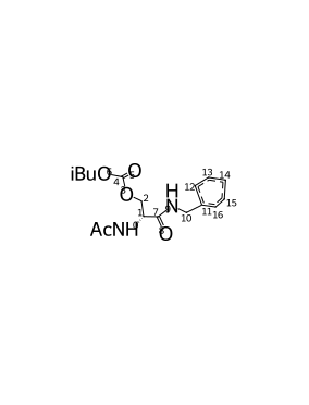 CC(=O)N[C@H](COC(=O)OCC(C)C)C(=O)NCc1ccccc1